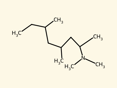 CCC(C)CC(C)CC(C)N(C)C